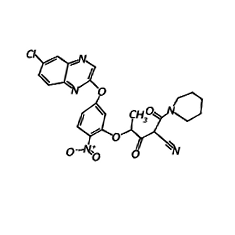 CC(Oc1cc(Oc2cnc3cc(Cl)ccc3n2)ccc1[N+](=O)[O-])C(=O)C(C#N)C(=O)N1CCCCC1